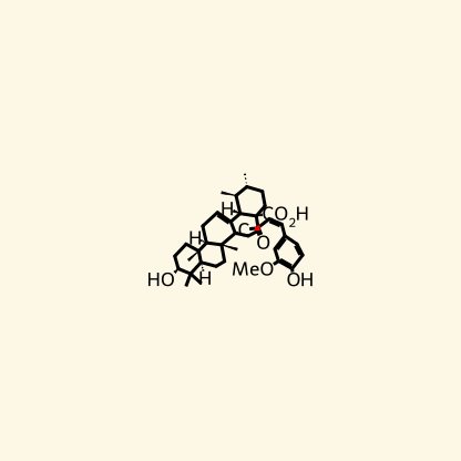 COc1cc(/C=C\C(=O)C[C@@]23CC[C@@]4(C(=O)O)CC[C@@H](C)[C@H](C)[C@H]4C2=CC[C@@H]2[C@@]4(C)CC[C@H](O)C(C)(C)[C@@H]4CC[C@]23C)ccc1O